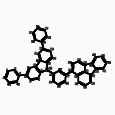 c1ccc(-c2ccc3c(c2)c2cc(-c4ccccc4)ccc2n3-c2cccc(-c3ncc4c5c(cccc35)-c3ccccc3-4)c2)cc1